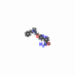 CCN(CCCOc1ccc(-c2cc(C(N)=O)ccn2)nc1)CCc1ccccc1